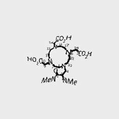 CNC(=O)C(CN1CCN(CC(=O)O)CCN(CC(=O)O)CCN(CC(=O)O)CC1)NC